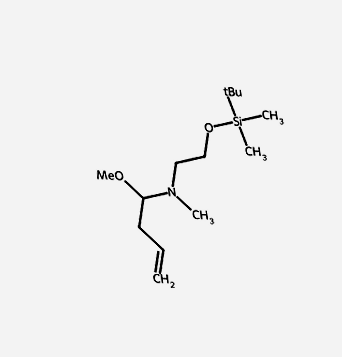 C=CCC(OC)N(C)CCO[Si](C)(C)C(C)(C)C